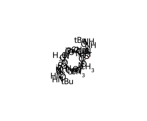 CC(C)C[C@H]1C(=O)O[C@H](Cc2ccc(Cn3cc(NC(=O)NC(C)(C)C)cn3)cc2)C(=O)N(C)[C@@H](CC(C)C)C(=O)O[C@H](C)C(=O)N(C)[C@@H](CC(C)C)C(=O)O[C@H](Cc2ccc(Cn3cc(NC(=O)NC(C)(C)C)cn3)cc2)C(=O)N(C)[C@@H](CC(C)C)C(=O)O[C@H](C)C(=O)N1C